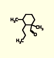 CCCC1C(C)CCCC1(C)C=O